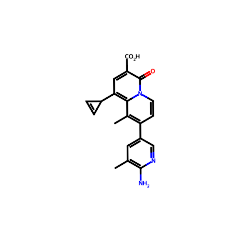 Cc1cc(-c2ccn3c(=O)c(C(=O)O)cc(C4C=C4)c3c2C)cnc1N